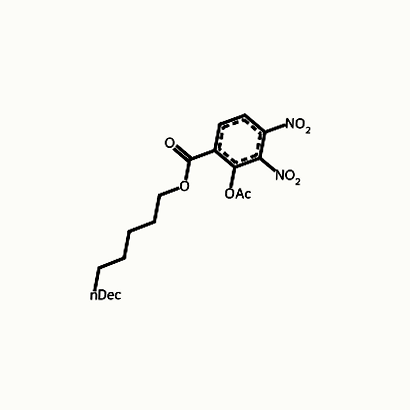 CCCCCCCCCCCCCCCOC(=O)c1ccc([N+](=O)[O-])c([N+](=O)[O-])c1OC(C)=O